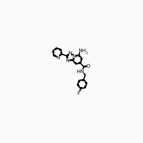 Nc1cc(C(=O)NCc2ccc(F)cc2)cc2nc(-c3ccccn3)nn12